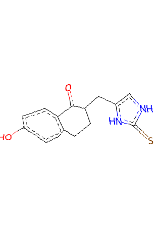 O=C1c2ccc(O)cc2CCC1Cc1c[nH]c(=S)[nH]1